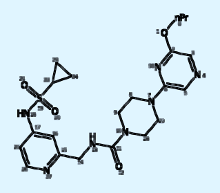 CCCOc1cncc(N2CCN(C(=O)NCc3cc(NS(=O)(=O)C4CC4)ccn3)CC2)n1